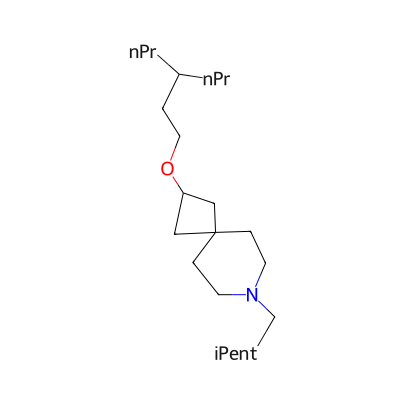 CCCC(C)CN1CCC2(CC1)CC(OCCC(CCC)CCC)C2